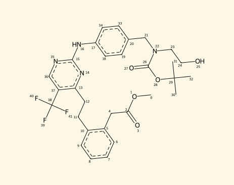 COC(=O)Cc1ccccc1CCc1nc(Nc2ccc(CN(CCO)C(=O)OC(C)(C)C)cc2)ncc1C(F)(F)F